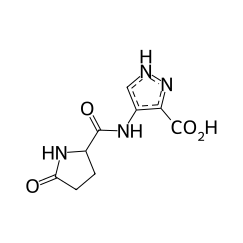 O=C1CCC(C(=O)Nc2c[nH]nc2C(=O)O)N1